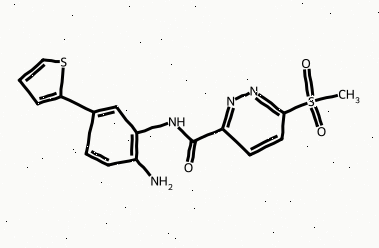 CS(=O)(=O)c1ccc(C(=O)Nc2cc(-c3cccs3)ccc2N)nn1